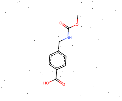 COC(=O)NCc1ccc(C(=O)O)cc1